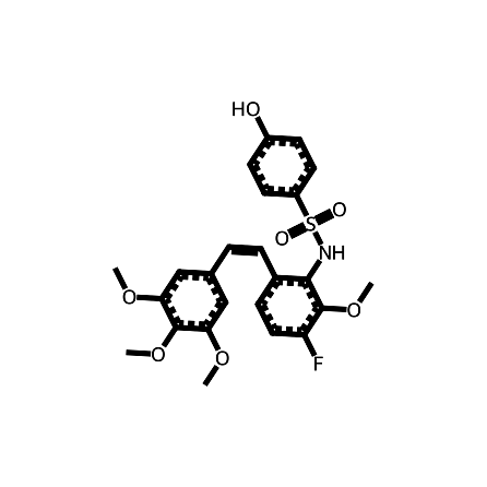 COc1cc(/C=C\c2ccc(F)c(OC)c2NS(=O)(=O)c2ccc(O)cc2)cc(OC)c1OC